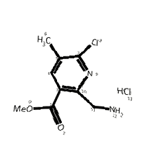 COC(=O)c1cc(C)c(Cl)nc1CN.Cl